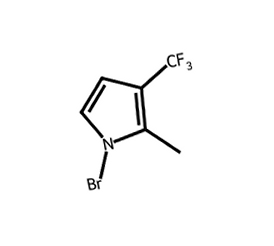 Cc1c(C(F)(F)F)ccn1Br